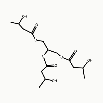 CC(O)CC(=O)OCC(COC(=O)CC(C)O)OC(=O)CC(C)O